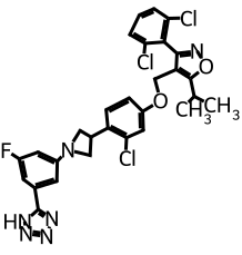 CC(C)c1onc(-c2c(Cl)cccc2Cl)c1COc1ccc(C2CN(c3cc(F)cc(-c4nnn[nH]4)c3)C2)c(Cl)c1